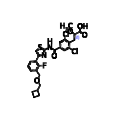 CO/C(=C\c1c(Cl)cc(C(=O)Nc2nc(-c3cccc(COCC4CCC4)c3F)cs2)cc1Cl)C(=O)O